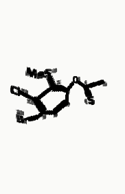 CSc1c(OC(C)=S)ccc(Br)c1Cl